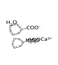 O.O.O.O=C([O-])c1ccccc1.O=C([O-])c1ccccc1.[Ca+2]